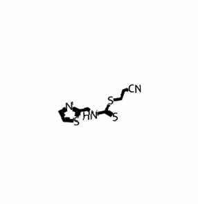 N#CCCSC(=S)NCc1nccs1